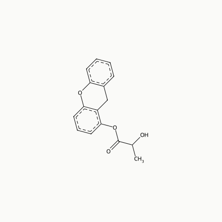 CC(O)C(=O)Oc1cccc2c1Cc1ccccc1O2